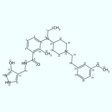 CCN(c1cccc(C(=O)NCc2c[nH]nc2O)c1C)C1CCN(CCc2cccc(OC)c2)CC1